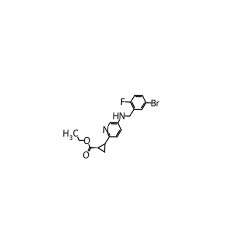 CCOC(=O)[C@@H]1CC1c1ccc(NCc2cc(Br)ccc2F)cn1